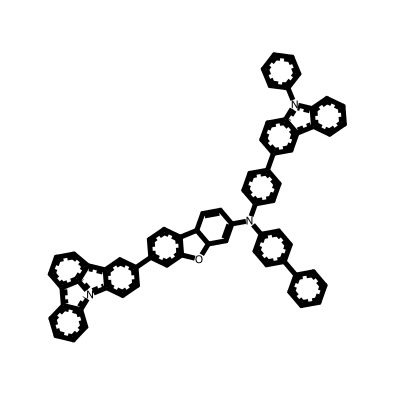 C1=CC2c3ccc(-c4ccc5c(c4)c4cccc6c7ccccc7n5c64)cc3OC2C=C1N(c1ccc(-c2ccccc2)cc1)c1ccc(-c2ccc3c(c2)c2ccccc2n3-c2ccccc2)cc1